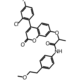 COCCc1ccc(NC(=O)C(C)Oc2ccc3c(-c4ccc(F)cc4Cl)cc(=O)oc3c2)cc1